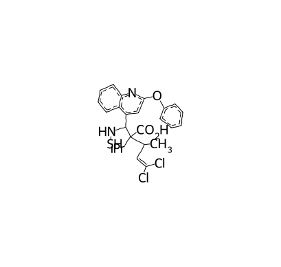 CC(C)C(C(=O)O)(C(C)C=C(Cl)Cl)C(NS)c1cc(Oc2ccccc2)nc2ccccc12